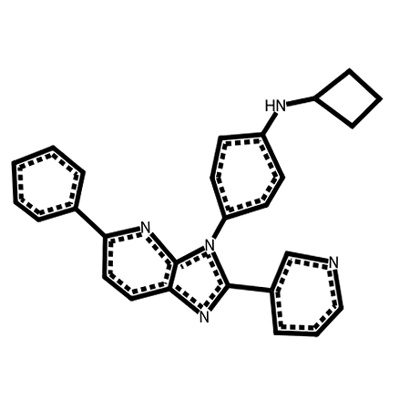 c1ccc(-c2ccc3nc(-c4cccnc4)n(-c4ccc(NC5CCC5)cc4)c3n2)cc1